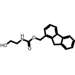 O=C(NCCO)OCc1cccc2c1Cc1ccccc1-2